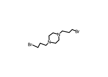 BrCCCN1CCN(CCCBr)CC1